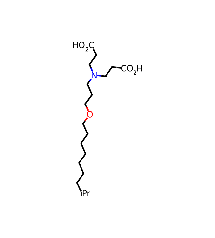 CC(C)CCCCCCCOCCCN(CCC(=O)O)CCC(=O)O